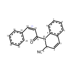 N#CC1C=Cc2ccccc2N1C(=O)/C=C\c1ccccc1